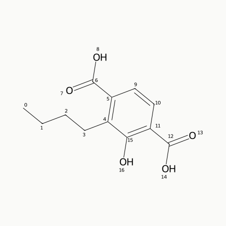 CCCCc1c(C(=O)O)ccc(C(=O)O)c1O